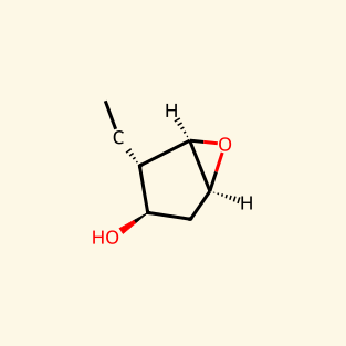 CC[C@@H]1[C@H]2O[C@H]2C[C@H]1O